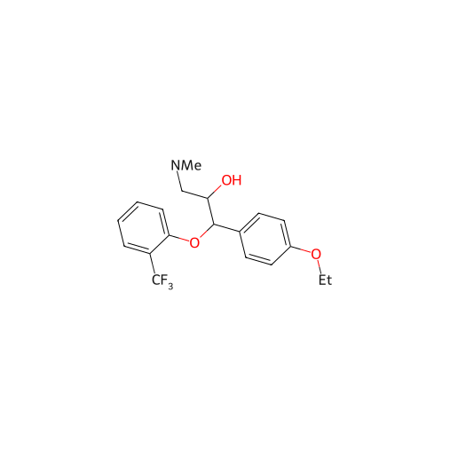 CCOc1ccc(C(Oc2ccccc2C(F)(F)F)C(O)CNC)cc1